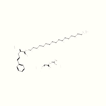 C=C(CC=Cc1ccccc1)C(=O)OCCCCCCCCCCCCCCCCCC.C=CC(=O)OC(C)C